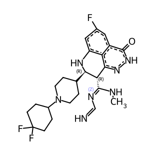 CN/C(=N\C=N)[C@H]1c2n[nH]c(=O)c3cc(F)cc(c23)N[C@@H]1C1CCN(C2CCC(F)(F)CC2)CC1